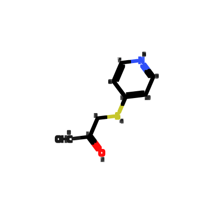 O=CC(=O)CSc1ccncc1